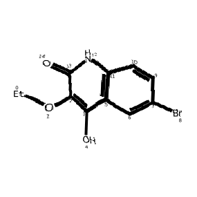 CCOc1c(O)c2cc(Br)ccc2[nH]c1=O